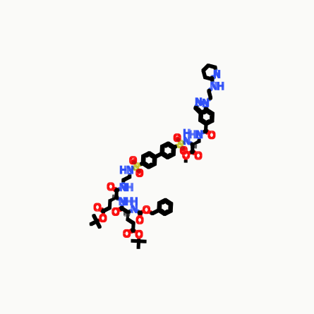 COC(=O)[C@H](CNC(=O)c1ccc2c(cnn2CCNC2=NCCCC2)c1)NS(=O)(=O)c1ccc(-c2ccc(S(=O)(=O)NCCNC(=O)[C@H](CCC(=O)OC(C)(C)C)NC(=O)[C@H](CCC(=O)OC(C)(C)C)NC(=O)OCc3ccccc3)cc2)cc1